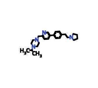 CC(C)N1CCN(Cc2ccc(-c3ccc(CCN4CCCC4)cc3)cn2)CC1